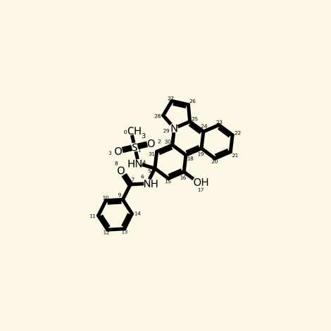 CS(=O)(=O)NC1(NC(=O)c2ccccc2)C=C(O)C2=c3ccccc3=C3C=CCN3C2=C1